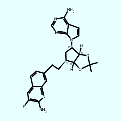 CC1(C)O[C@@H]2[C@@H](CCc3ccc4cc(F)c(N)nc4c3)C[C@@H](n3ccc4c(N)ncnc43)[C@@H]2O1